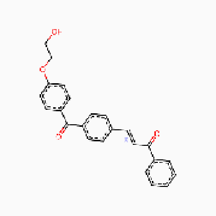 O=C(/C=C/c1ccc(C(=O)c2ccc(OCCO)cc2)cc1)c1ccccc1